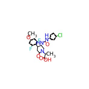 COc1cc(F)c(C2CC(=O)N(C(C)C(=O)O)CC2NC(=O)Nc2ccc(Cl)cc2)c(F)c1